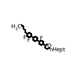 C/C=C\CCCc1ccc(-c2ccc(-c3ccc(C4CCC(CCCCCCC)OC4)cc3F)cc2)c(F)c1F